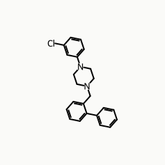 Clc1cccc(N2CCN(Cc3ccccc3-c3ccccc3)CC2)c1